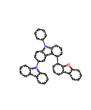 c1ccc(-n2c3ccc(-n4c5ccccc5c5ccccc54)cc3c3c(-c4cccc5c4oc4ccccc45)cccc32)cc1